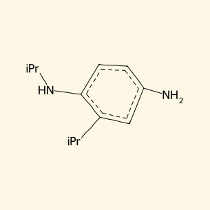 CC(C)Nc1ccc(N)cc1C(C)C